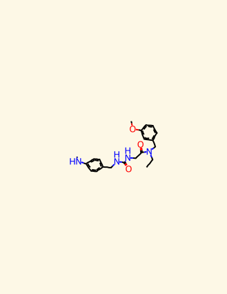 CCN(Cc1cccc(OC)c1)C(=O)CNC(=O)NCc1ccc(NC)cc1